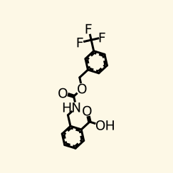 O=C(NCc1ccccc1C(=O)O)OCc1cccc(C(F)(F)F)c1